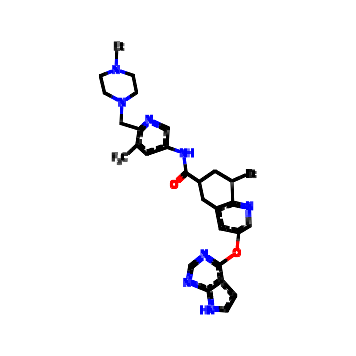 CCC1CC(C(=O)Nc2cnc(CN3CCN(CC)CC3)c(C(F)(F)F)c2)Cc2cc(Oc3ncnc4[nH]ccc34)cnc21